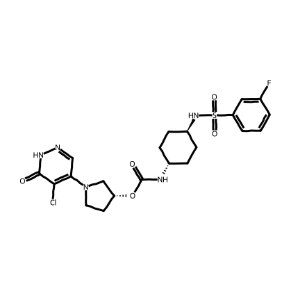 O=C(N[C@H]1CC[C@H](NS(=O)(=O)c2cccc(F)c2)CC1)O[C@@H]1CCN(c2cn[nH]c(=O)c2Cl)C1